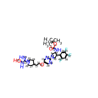 CC(C)(C)OC(=O)NC1CN(c2ncc(OCCC3CCN(C(=N)NO)CC3)cn2)CC1c1cc(F)c(F)cc1F